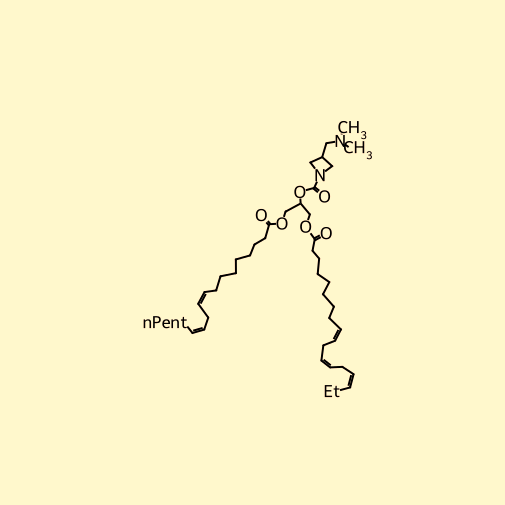 CC/C=C\C/C=C\C/C=C\CCCCCCCC(=O)OCC(COC(=O)CCCCCCC/C=C\C/C=C\CCCCC)OC(=O)N1CC(CN(C)C)C1